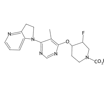 Cc1c(OC2CCN(C(=O)O)CC2F)ncnc1N1CCc2ncccc21